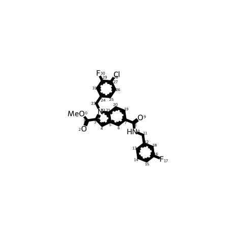 COC(=O)c1cc2cc(C(=O)NCc3cccc(F)c3)ccc2n1Cc1ccc(Cl)c(F)c1